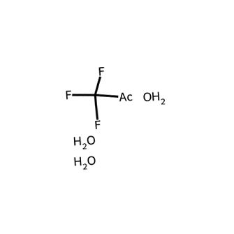 CC(=O)C(F)(F)F.O.O.O